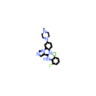 CN1CCN(c2ccc3nc(Nc4c(F)cccc4Cl)c4cncn4c3c2)CC1